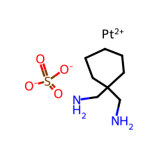 NCC1(CN)CCCCC1.O=S(=O)([O-])[O-].[Pt+2]